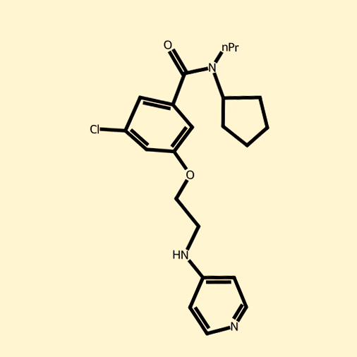 CCCN(C(=O)c1cc(Cl)cc(OCCNc2ccncc2)c1)C1CCCC1